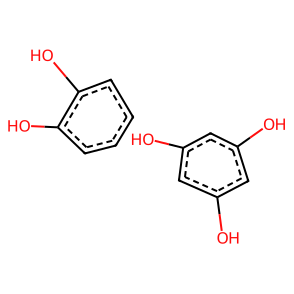 Oc1cc(O)cc(O)c1.Oc1ccccc1O